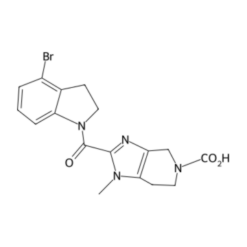 Cn1c(C(=O)N2CCc3c(Br)cccc32)nc2c1CCN(C(=O)O)C2